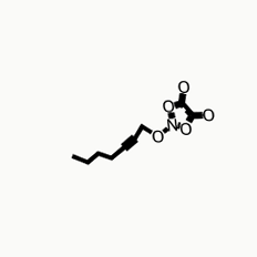 CCCCC#CCOn1oc(=O)c(=O)o1